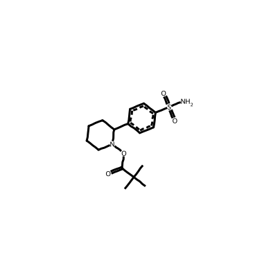 CC(C)(C)C(=O)ON1CCCCC1c1ccc(S(N)(=O)=O)cc1